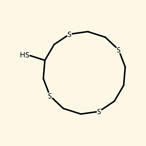 SC1CSCCSCCCSCCSC1